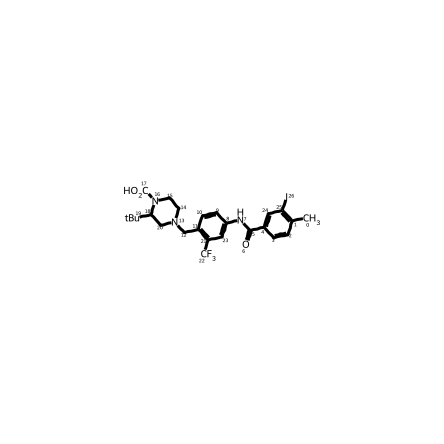 Cc1ccc(C(=O)Nc2ccc(CN3CCN(C(=O)O)C(C(C)(C)C)C3)c(C(F)(F)F)c2)cc1I